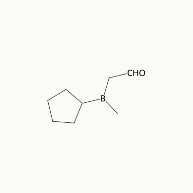 CB(CC=O)C1CCCC1